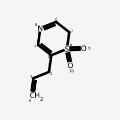 C=CCC1=CN=CCS1(=O)=O